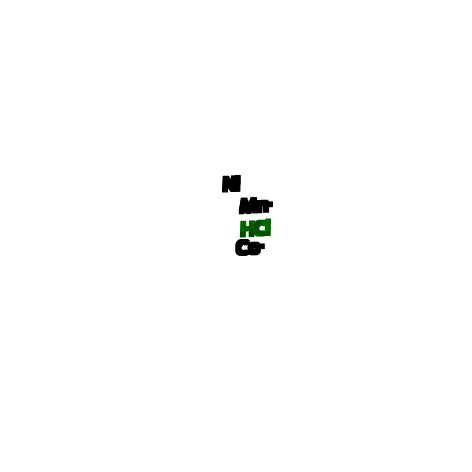 Cl.[Co].[Mn].[Ni]